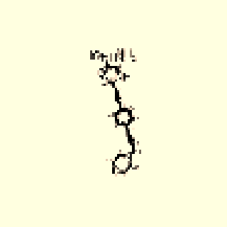 NC[C@H](NC(=O)C#Cc1ccc(C#CCN2CCOCC2)cc1)C(=O)NO